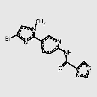 Cn1cc(Br)nc1-c1ccc(NC(=O)c2cscn2)nc1